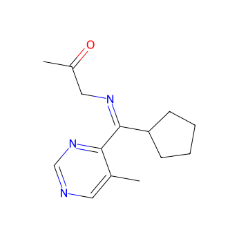 CC(=O)C/N=C(\c1ncncc1C)C1CCCC1